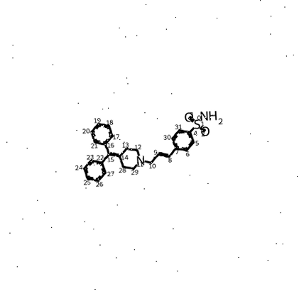 NS(=O)(=O)c1ccc(C=CCN2CCC(=C(c3ccccc3)c3ccccc3)CC2)cc1